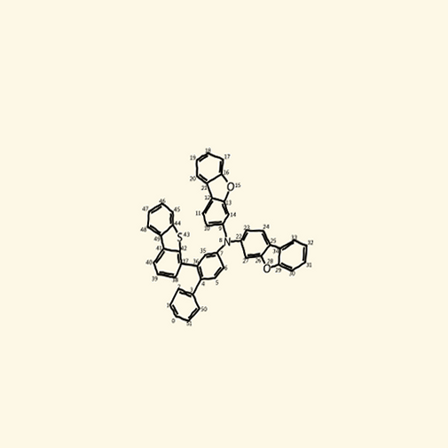 c1ccc(-c2ccc(N(c3ccc4c(c3)oc3ccccc34)c3ccc4c(c3)oc3ccccc34)cc2-c2cccc3c2sc2ccccc23)cc1